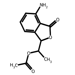 CC(=O)OC(C)C1OC(=O)c2c(N)cccc21